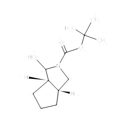 CC(C)(C)OC(=O)N1C[C@@H]2CCC[C@@H]2C1O